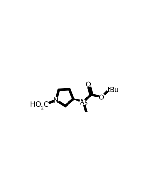 C[As](C(=O)OC(C)(C)C)[C@@H]1CCN(C(=O)O)C1